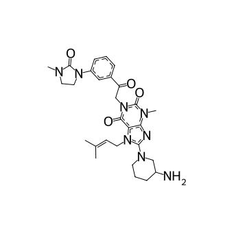 CC(C)=CCn1c(N2CCCC(N)C2)nc2c1c(=O)n(CC(=O)c1cccc(N3CCN(C)C3=O)c1)c(=O)n2C